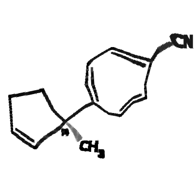 C[C@]1(c2ccc(C#N)cc2)C=CCC1